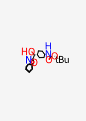 CC(C)(C)OC(=O)N[C@H]1CC[C@H](C(O)c2nc3ccccc3o2)CC1